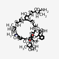 C=C(NC(=O)c1csc(-c2nc3c(cc2O)-c2nc(cs2)C(=O)N[C@@H]([C@@H](C)O)C(=O)N/C(=C(\C)OC)c2nc(cs2)C(=O)N[C@@H]2c4nc(cs4)C(=O)N[C@@H](COC(=O)c4c5c6c(cccc6n4O)COC(=O)[C@@H](O[C@H]4C[C@](C)(O)[C@H](O)[C@H](C)O4)[C@H]2OC5)c2nc-3cs2)n1)C(N)=O